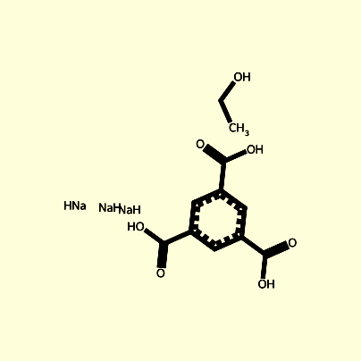 CCO.O=C(O)c1cc(C(=O)O)cc(C(=O)O)c1.[NaH].[NaH].[NaH]